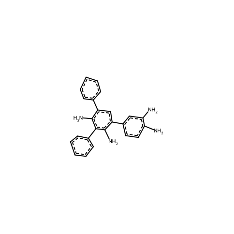 Nc1ccc(-c2cc(-c3ccccc3)c(N)c(-c3ccccc3)c2N)cc1N